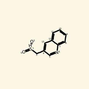 O=[SH](=O)Cc1cnc2ccccc2c1